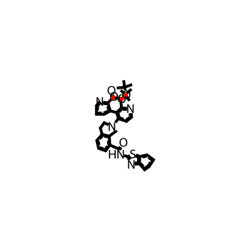 CC(C)(C)OC(=O)c1ncccc1-c1c(N2CCc3cccc(C(=O)Nc4nc5ccccc5s4)c3C2)ccnc1C(=O)OC(C)(C)C